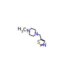 CN1CCN(Cc2cn[c]s2)CC1